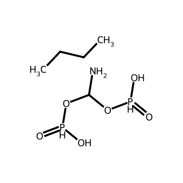 CCCC.NC(O[PH](=O)O)O[PH](=O)O